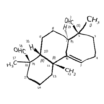 C[C@]1(C=O)CCC=C2[C@H]1CC[C@@H]1[C@@]2(C)CCC[C@@]1(C)C=O